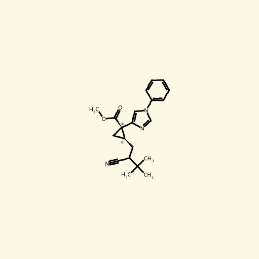 COC(=O)[C@]1(c2cn(-c3ccccc3)cn2)C[C@@H]1CC(C#N)C(C)(C)C